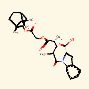 CC(C[C@@H](C)C(=O)OCC(=O)OC1CC2CCC1(C)C2(C)C)C(=O)N1c2ccccc2C[C@H]1C(=O)O